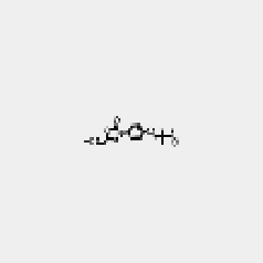 CC(=O)C(C)(C)COc1ccc(N2CC(CO)OC2=O)cc1